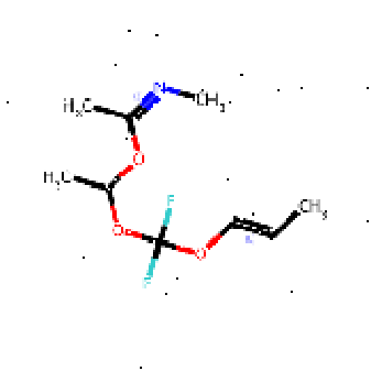 C/C=C/OC(F)(F)OC(C)O/C(C)=N\C